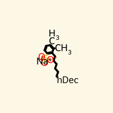 CCCCCCCCCCCCCCCCc1c(S(=O)(=O)[O-])ccc(C)c1C.[Na+]